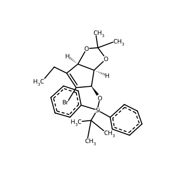 CCC1=C(Br)[C@H](O[Si](c2ccccc2)(c2ccccc2)C(C)(C)C)[C@@H]2OC(C)(C)O[C@H]12